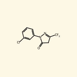 O=C1CC(C(F)(F)F)=NN1c1cccc(Cl)c1